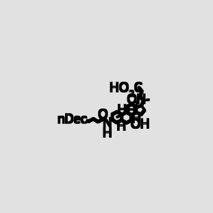 CCCCCCCCCCCCCC(=O)N[C@H]1CC[C@@]2(C)[C@@H](C1)C[C@@H](O)[C@@H]1[C@@H]2C[C@H](O)[C@]2(C)[C@@H]([C@H](C)CCC(=O)O)CC[C@@H]12